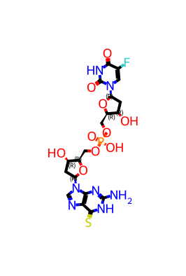 Nc1nc2c(ncn2[C@H]2C[C@@H](O)[C@@H](COP(=O)(O)OC[C@H]3O[C@@H](n4cc(F)c(=O)[nH]c4=O)C[C@H]3O)O2)c(=S)[nH]1